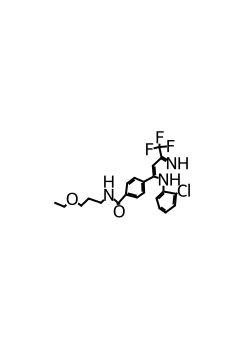 CCOCCCNC(=O)c1ccc(/C(=C/C(=N)C(F)(F)F)Nc2ccccc2Cl)cc1